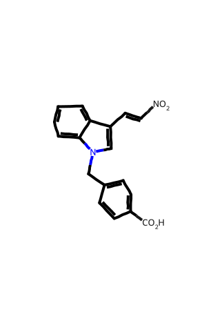 O=C(O)c1ccc(Cn2cc(C=C[N+](=O)[O-])c3ccccc32)cc1